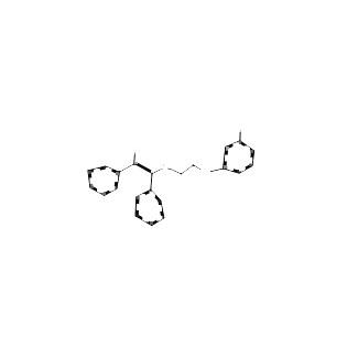 Cc1cccc(SCCN/C(=C(\S)c2ccccc2)c2ccccc2)c1